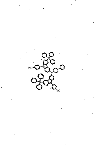 [C-]#[N+]c1ccc(-n2c3ccc(N(c4ccc(-c5ccccc5)cc4)c4ccc5c(c4)c4cc([Si](c6ccccc6)(c6ccccc6)c6ccccc6)ccc4n5-c4ccc(C#N)cc4)cc3c3cc([Si](c4ccccc4)(c4ccccc4)c4ccccc4)ccc32)cc1